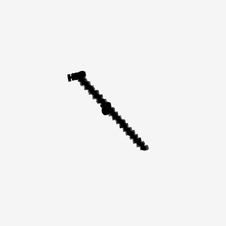 CCCCCCCCC=CCCCCCCCCCCCC(=O)OCCCCCCCCCCCCCC(=O)O